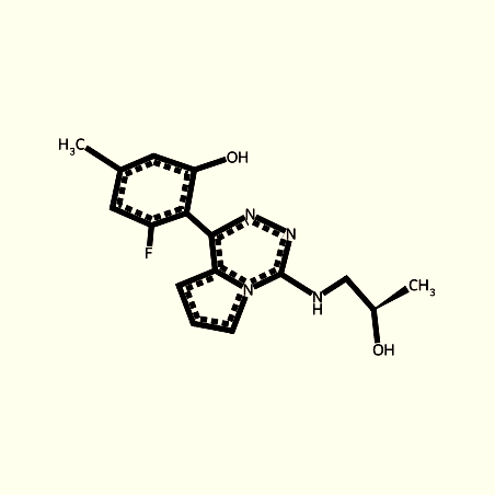 Cc1cc(O)c(-c2nnc(NC[C@@H](C)O)n3cccc23)c(F)c1